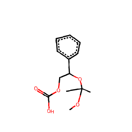 COC(C)(C)OC(COC(=O)O)c1ccccc1